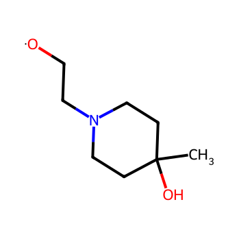 CC1(O)CCN(CC[O])CC1